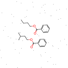 CC(C)CCOC(=O)c1ccccc1.CCCCOC(=O)c1ccccc1